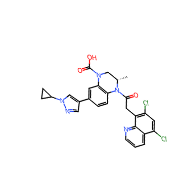 C[C@H]1CN(C(=O)O)c2cc(-c3cnn(C4CC4)c3)ccc2N1C(=O)Cc1c(Cl)cc(Cl)c2cccnc12